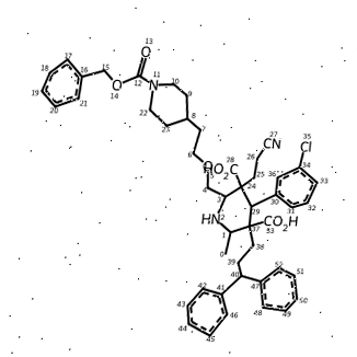 CC1NC(COCCC2CCN(C(=O)OCc3ccccc3)CC2)C(CCC#N)(C(=O)O)C(c2cccc(Cl)c2)C1(CCC(c1ccccc1)c1ccccc1)C(=O)O